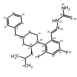 CC(C)C[C@H]1CN(Cc2ccccc2)CCN1c1c(F)cc(F)cc1C=NNC(N)=S